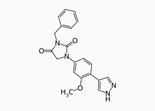 COc1cc(N2CC(=O)N(Cc3ccccc3)C2=O)ccc1-c1cn[nH]c1